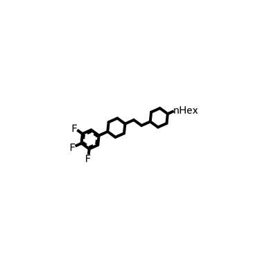 CCCCCCC1CCC(CCC2CCC(c3cc(F)c(F)c(F)c3)CC2)CC1